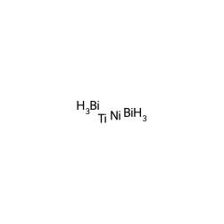 [BiH3].[BiH3].[Ni].[Ti]